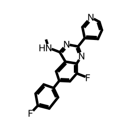 CNc1nc(-c2cccnc2)nc2c(F)cc(-c3ccc(F)cc3)cc12